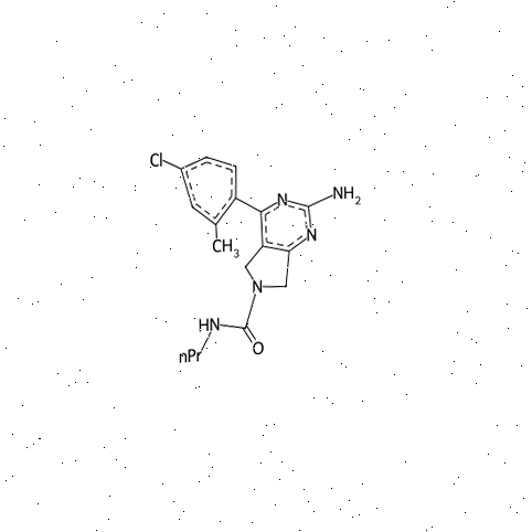 CCCNC(=O)N1Cc2nc(N)nc(-c3ccc(Cl)cc3C)c2C1